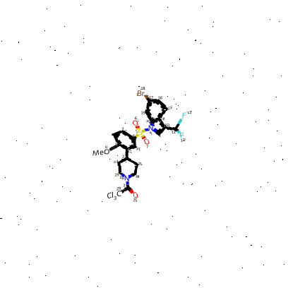 COc1ccc(S(=O)(=O)n2cc(C(F)F)c3ccc(Br)cc32)cc1C1CCN(C(=O)C(Cl)(Cl)Cl)CC1